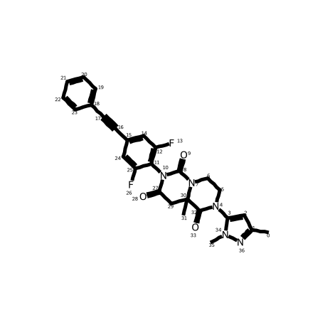 Cc1cc(N2CCN3C(=O)N(c4c(F)cc(C#Cc5ccccc5)cc4F)C(=O)CC3(C)C2=O)n(C)n1